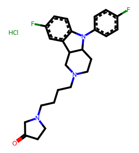 Cl.O=C1CCN(CCCCN2CCC3C(C2)c2cc(F)ccc2N3c2ccc(F)cc2)C1